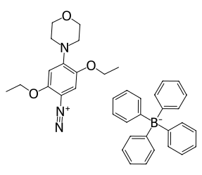 CCOc1cc(N2CCOCC2)c(OCC)cc1[N+]#N.c1ccc([B-](c2ccccc2)(c2ccccc2)c2ccccc2)cc1